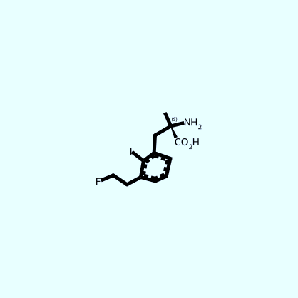 C[C@](N)(Cc1cccc(CCF)c1I)C(=O)O